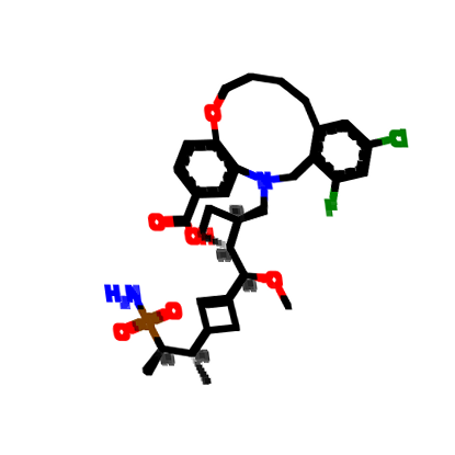 CO[C@@H](C1=CC([C@H](C)[C@@H](C)S(N)(=O)=O)C1)[C@@H]1CC[C@H]1CN1Cc2c(F)cc(Cl)cc2CCCCOc2ccc(C(=O)O)cc21